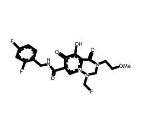 COCCN1CN(CF)n2cc(C(=O)NCc3ccc(F)cc3F)c(=O)c(O)c2C1=O